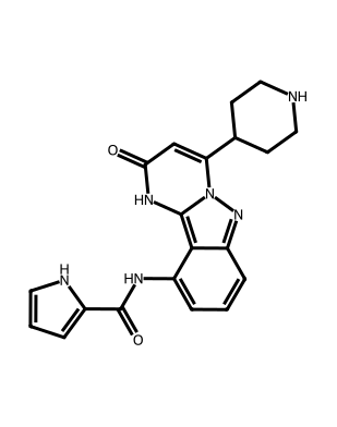 O=C(Nc1cccc2nn3c(C4CCNCC4)cc(=O)[nH]c3c12)c1ccc[nH]1